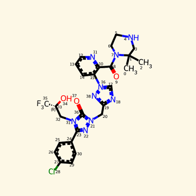 CC1(C)CNCCN1C(=O)c1ncccc1-n1cnc(Cn2nc(-c3ccc(Cl)cc3)n(C[C@@H](O)C(F)(F)F)c2=O)n1